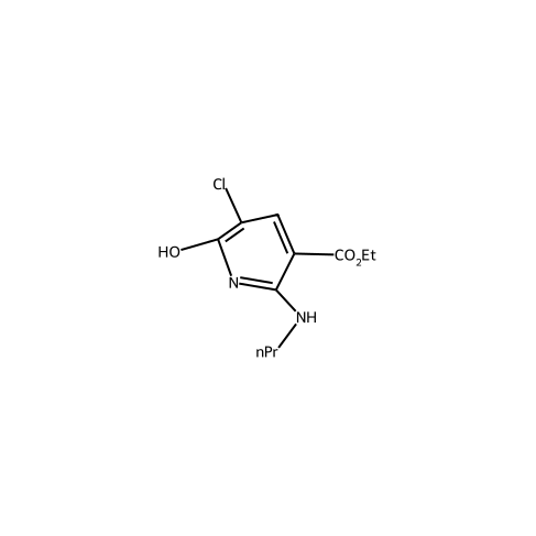 CCCNc1nc(O)c(Cl)cc1C(=O)OCC